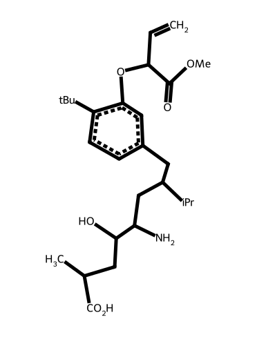 C=CC(Oc1cc(CC(CC(N)C(O)CC(C)C(=O)O)C(C)C)ccc1C(C)(C)C)C(=O)OC